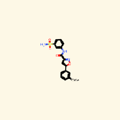 COc1cccc(-c2cc(C(=O)Nc3cccc(S(N)(=O)=O)c3)no2)c1